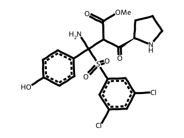 COC(=O)C(C(=O)[C@H]1CCCN1)C(N)(c1ccc(O)cc1)S(=O)(=O)c1cc(Cl)cc(Cl)c1